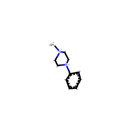 CCCN1CCN(c2c[c]ccc2)CC1